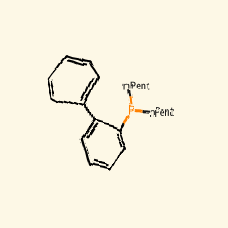 CCCCCP(CCCCC)c1ccccc1-c1ccccc1